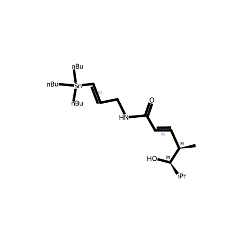 CCC[CH2][Sn](/[CH]=C/CNC(=O)/C=C/[C@@H](C)[C@H](O)C(C)C)([CH2]CCC)[CH2]CCC